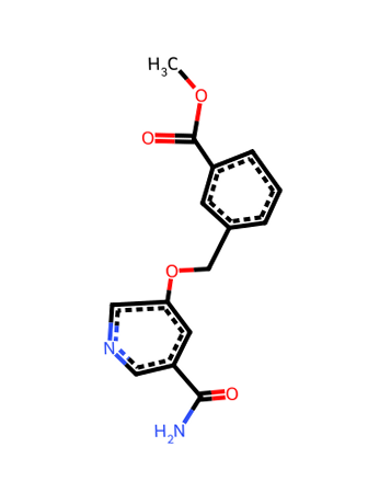 COC(=O)c1cccc(COc2cncc(C(N)=O)c2)c1